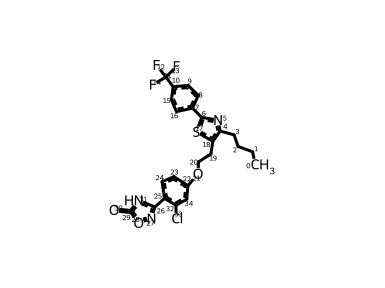 CCCCc1nc(-c2ccc(C(F)(F)F)cc2)sc1CCOc1ccc(-c2noc(=O)[nH]2)c(Cl)c1